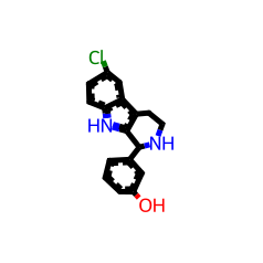 Oc1cccc(C2NCCc3c2[nH]c2ccc(Cl)cc32)c1